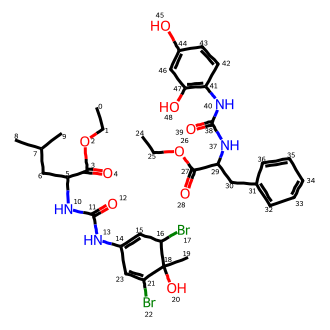 CCOC(=O)C(CC(C)C)NC(=O)NC1=CC(Br)C(C)(O)C(Br)=C1.CCOC(=O)C(Cc1ccccc1)NC(=O)Nc1ccc(O)cc1O